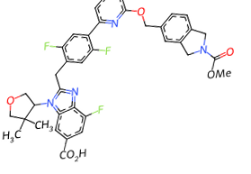 COC(=O)N1Cc2ccc(COc3cccc(-c4cc(F)c(Cc5nc6c(F)cc(C(=O)O)cc6n5C5COCC5(C)C)cc4F)n3)cc2C1